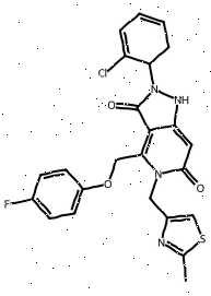 Cc1nc(Cn2c(COc3ccc(F)cc3)c3c(=O)n(C4CC=CC=C4Cl)[nH]c3cc2=O)cs1